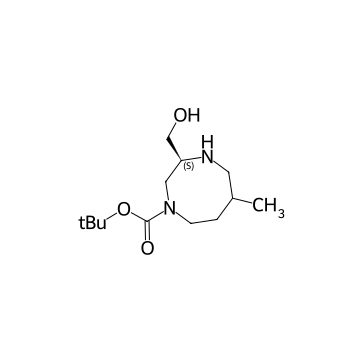 CC1CCN(C(=O)OC(C)(C)C)C[C@@H](CO)NC1